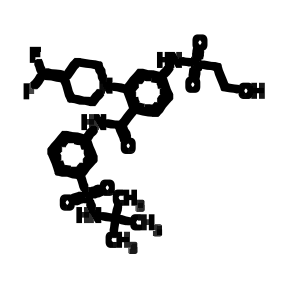 CC(C)(C)NS(=O)(=O)c1cccc(NC(=O)c2ccc(NS(=O)(=O)CCO)cc2N2CCC(=C(F)F)CC2)c1